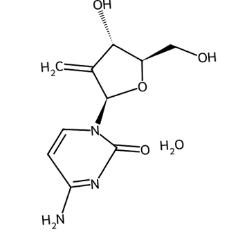 C=C1[C@H](n2ccc(N)nc2=O)O[C@H](CO)[C@H]1O.O